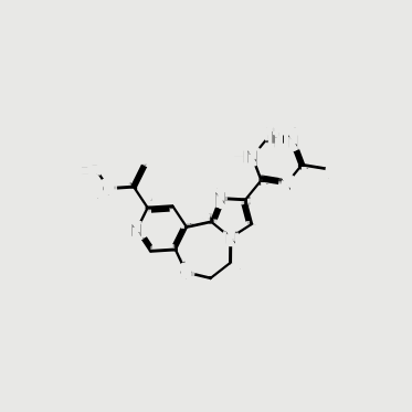 C=C(OCC)c1cc2c(cn1)OCCn1cc(/C(=N/C(C)=N)NC(C)C)nc1-2